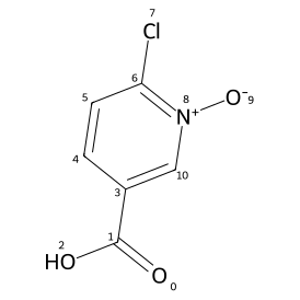 O=C(O)c1ccc(Cl)[n+]([O-])c1